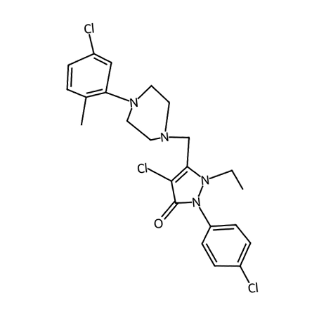 CCn1c(CN2CCN(c3cc(Cl)ccc3C)CC2)c(Cl)c(=O)n1-c1ccc(Cl)cc1